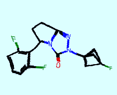 O=c1n(C23CC(F)(C2)C3)nc2n1C(c1c(F)cccc1F)CC2